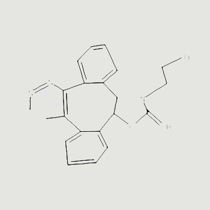 C=C(NCCC(C)C)OC1Cc2ccccc2C(/N=N\C)=C(/C)c2ccccc21